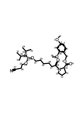 COc1ccc(COC(=O)C2CCCN2C(=O)CCCCCOP(OCCC#N)N(C(C)C)C(C)C)c(OC)c1